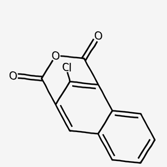 O=C1OC(=O)c2c(Cl)c1cc1ccccc21